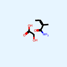 CC=C(C)C(N)=O.O=C(O)CO